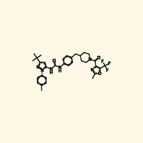 Cc1ccc(-n2nc(C(C)(C)C)cc2NC(=O)Nc2ccc(CC3CCN(C(=O)c4nc(C)oc4C(F)(F)F)CC3)cc2)cc1